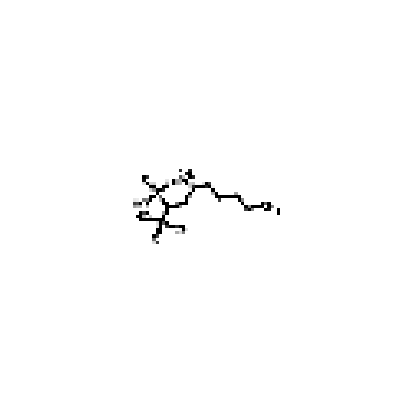 CCCCCN(C)CC(P(=O)(O)O)P(=O)(O)O